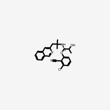 CC(O)[C@H](NC(C)(C)Cc1cc2ccccc2cn1)Oc1cccc(Cl)c1C#N